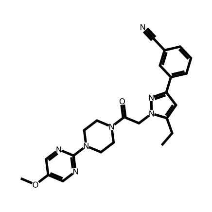 CCc1cc(-c2cccc(C#N)c2)nn1CC(=O)N1CCN(c2ncc(OC)cn2)CC1